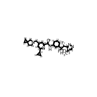 Cn1cnnc1[C@H](F)[C@](C)(F)c1cccc(NC(=O)c2cc(CN3CCC4(CC4)C3)cc(C3CC3)n2)c1